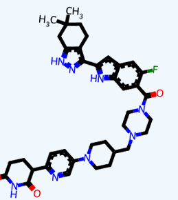 CC1(C)CCc2c(-c3cc4cc(F)c(C(=O)N5CCN(CC6CCN(c7ccc(C8CCC(=O)NC8=O)nc7)CC6)CC5)cc4[nH]3)n[nH]c2C1